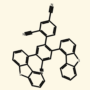 N#Cc1ccc(-c2cc(-c3cccc4sc5ccccc5c34)c(C#N)cc2-c2cccc3sc4ccccc4c23)c(C#N)c1